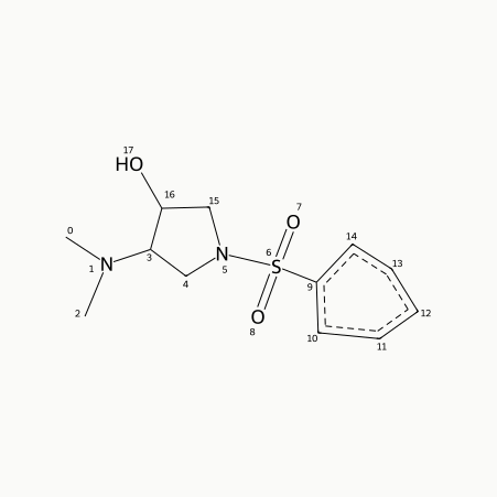 CN(C)C1CN(S(=O)(=O)c2ccccc2)CC1O